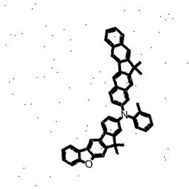 Cc1ccccc1N(c1ccc2c(c1)C(C)(C)c1cc3oc4ccccc4c3cc1-2)c1ccc2cc3c(cc2c1)C(C)(C)c1cc2ccccc2cc1-3